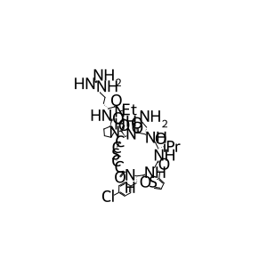 CCNC(=O)[C@@H](CCCNC(=N)N)NC(=O)[C@@H]1CCCN1C(=O)[C@@H]1CCSCCC(=O)N[C@@H](Cc2ccc(Cl)cc2)C(=O)N[C@@H](Cc2cccs2)C(=O)N[C@@H](C(C)C)C(=O)N[C@@H](CC(N)=O)C(=O)N1